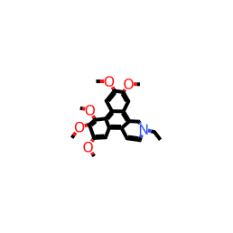 CCN1C=Cc2c(c3cc(OC)c(OC)cc3c3c(OC)c(OC)c(OC)cc23)C1